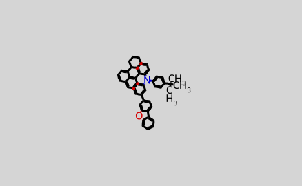 CC(C)(C)c1ccc(N(c2cccc(-c3ccc4c(c3)oc3ccccc34)c2)c2ccccc2-c2cccc3cccc(C4CCCCC4)c23)cc1